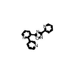 c1ccc(-c2noc(-c3cccnc3-c3cccnc3)n2)nc1